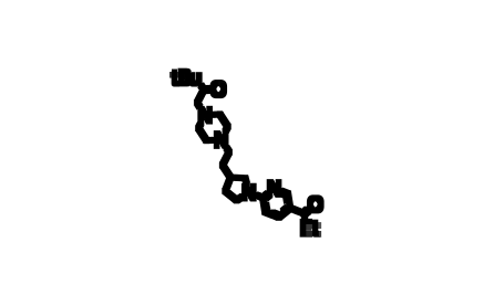 CCC(=O)c1ccc(N2CCC(CCN3CCN(CC(=O)C(C)(C)C)CC3)C2)nc1